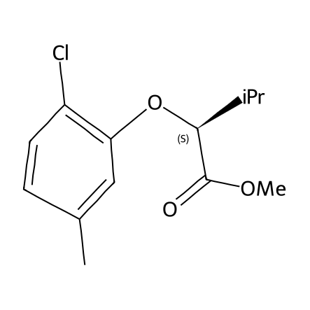 COC(=O)[C@@H](Oc1cc(C)ccc1Cl)C(C)C